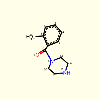 Cc1ccccc1C(=O)N1CCNCC1